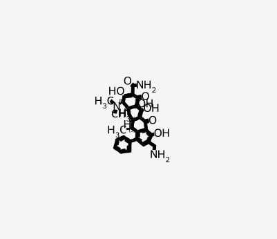 C[C@@H]1c2c(-c3ccccc3)cc(CN)c(O)c2C(=O)C2=C(O)[C@]3(O)C(=O)C(C(N)=O)=C(O)[C@H](N(C)C)[C@@H]3C[C@@H]21